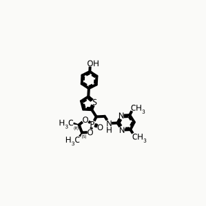 Cc1cc(C)nc(NCC(c2ccc(-c3ccc(O)cc3)s2)P2(=O)O[C@@H](C)[C@@H](C)O2)n1